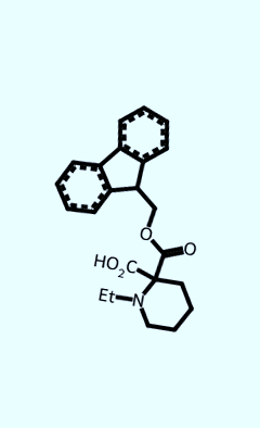 CCN1CCCCC1(C(=O)O)C(=O)OCC1c2ccccc2-c2ccccc21